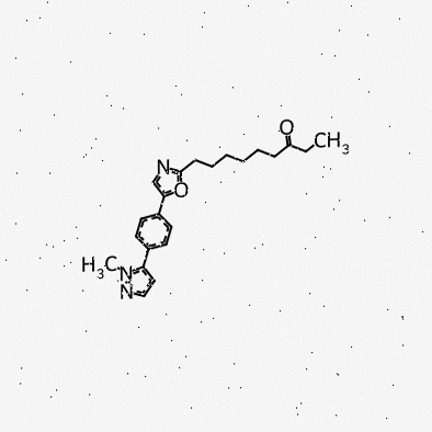 CCC(=O)CCCCCCc1ncc(-c2ccc(-c3ccnn3C)cc2)o1